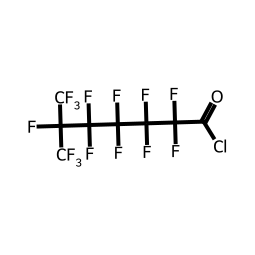 O=C(Cl)C(F)(F)C(F)(F)C(F)(F)C(F)(F)C(F)(C(F)(F)F)C(F)(F)F